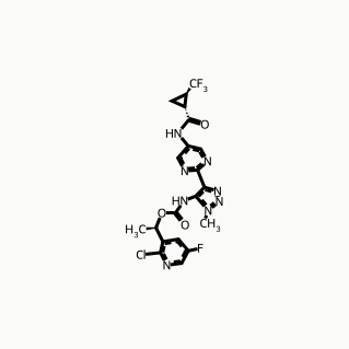 C[C@@H](OC(=O)Nc1c(-c2ncc(NC(=O)[C@@H]3C[C@H]3C(F)(F)F)cn2)nnn1C)c1cc(F)cnc1Cl